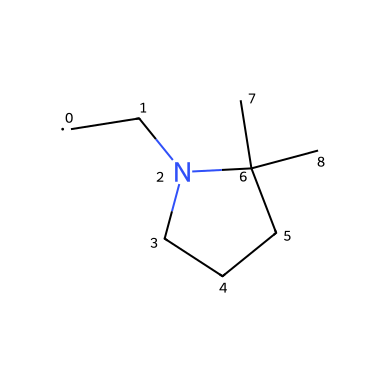 [CH2]CN1CCCC1(C)C